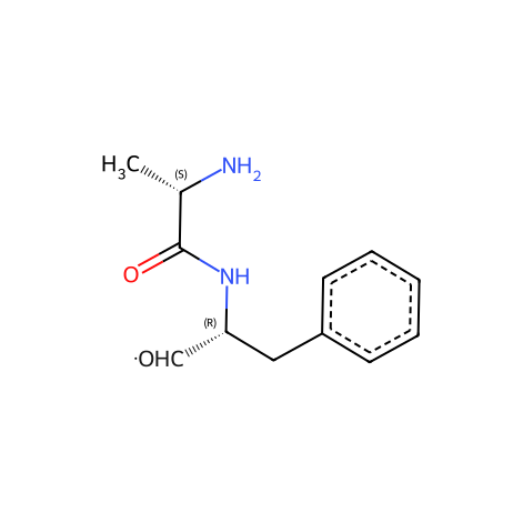 C[C@H](N)C(=O)N[C@@H]([C]=O)Cc1ccccc1